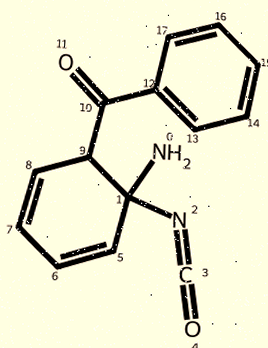 NC1(N=C=O)C=CC=CC1C(=O)c1ccccc1